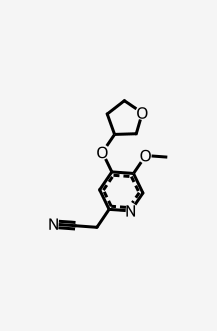 COc1cnc(CC#N)cc1OC1CCOC1